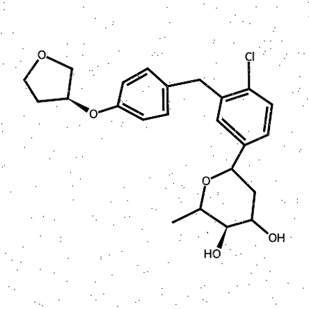 CC1OC(c2ccc(Cl)c(Cc3ccc(O[C@H]4CCOC4)cc3)c2)CC(O)[C@H]1O